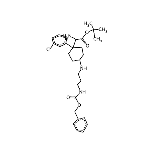 CC(C)(C)OC(=O)C(N)C1(c2cccc(Cl)c2)CCC(NCCCNC(=O)OCc2ccccc2)CC1